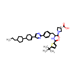 CCCC1CCC(C2CC=C(c3cnc(-c4ccc(CC(NC(=O)c5ccc(C(C)(C)C)s5)C(=O)N5CC[C@H](C(=O)O)C5)cc4)nc3)CC2)CC1